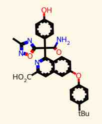 Cc1noc(C(C(N)=O)(c2ccc(O)cc2)c2nc(C(=O)O)cc3cc(Oc4ccc(C(C)(C)C)cc4)ccc23)n1